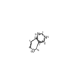 C1=Cc2ncncc2CO1